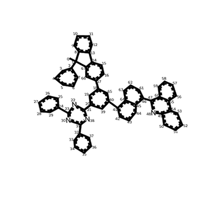 CC1(c2ccccc2)c2ccccc2-c2ccc(-c3cc(-c4nc(-c5ccccc5)nc(-c5ccccc5)n4)cc(-c4cccc5c(-c6nc7ccccc7c7ccccc67)cccc45)c3)cc21